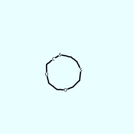 C1COCCSCCSCCO1